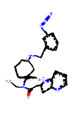 CCN(C(=O)c1cc2ncccc2[nH]1)C1(C)CCC[C@@H](NCc2cccc(N=[N+]=[N-])c2)C1